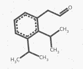 CC(C)c1cccc(CC=O)c1C(C)C